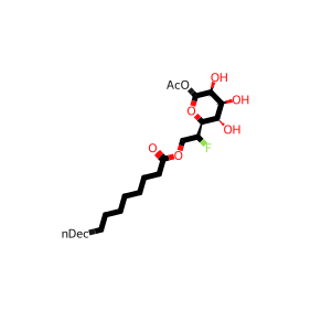 CCCCCCCCCCCCCCCCCC(=O)OCC(F)[C@H]1OC(OC(C)=O)[C@@H](O)[C@@H](O)[C@@H]1O